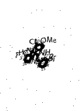 COc1ccc(C(CN)(C(N)Cc2cccc(Br)c2)C(C)(N)c2ccccc2C(F)(F)F)cc1Cl